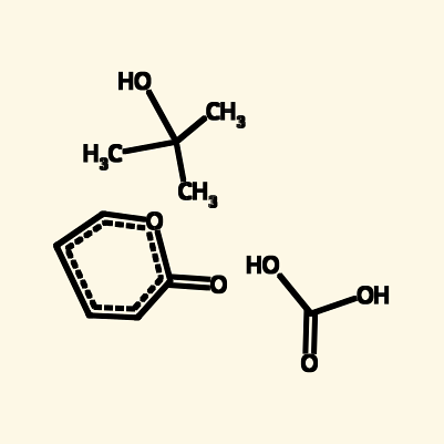 CC(C)(C)O.O=C(O)O.O=c1cccco1